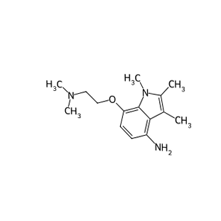 Cc1c(C)n(C)c2c(OCCN(C)C)ccc(N)c12